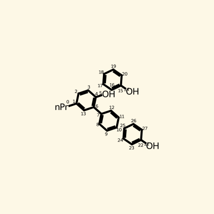 CCCc1ccc(O)c(-c2ccccc2)c1.Oc1ccccc1.Oc1ccccc1